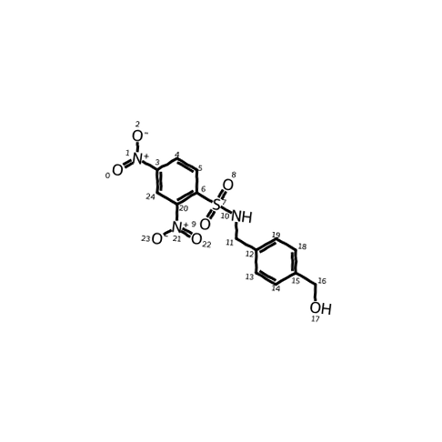 O=[N+]([O-])c1ccc(S(=O)(=O)NCc2ccc(CO)cc2)c([N+](=O)[O-])c1